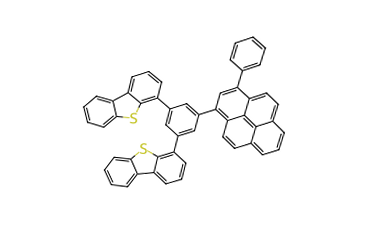 c1ccc(-c2cc(-c3cc(-c4cccc5c4sc4ccccc45)cc(-c4cccc5c4sc4ccccc45)c3)c3ccc4cccc5ccc2c3c54)cc1